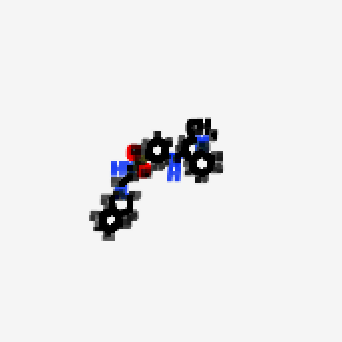 Cc1cc(Nc2cccc(S(=O)(=O)NCCN3CCc4ccccc4C3)c2)c2ccccc2n1